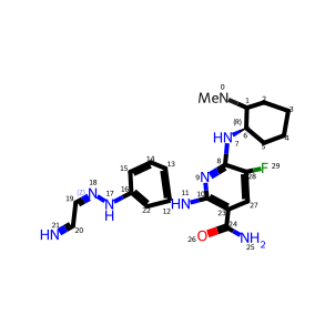 CNC1CCCC[C@H]1Nc1nc(Nc2cccc(N/N=C\C=N)c2)c(C(N)=O)cc1F